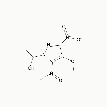 COc1c([N+](=O)[O-])nn(C(C)O)c1[N+](=O)[O-]